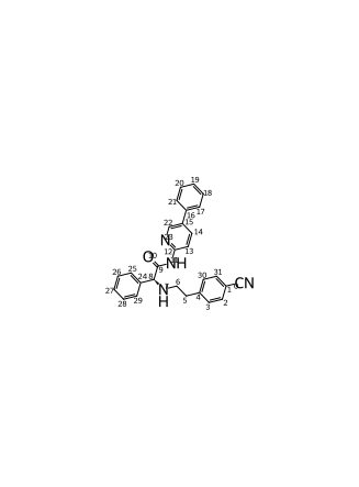 N#Cc1ccc(CCN[C@H](C(=O)Nc2ccc(-c3ccccc3)cn2)c2ccccc2)cc1